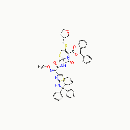 CO/N=C(\C(=O)NC1C(=O)N2C(C(=O)OC(c3ccccc3)c3ccccc3)=C(SCC3CCOC3)CS[C@@H]12)c1csc(NC(c2ccccc2)(c2ccccc2)c2ccccc2)n1